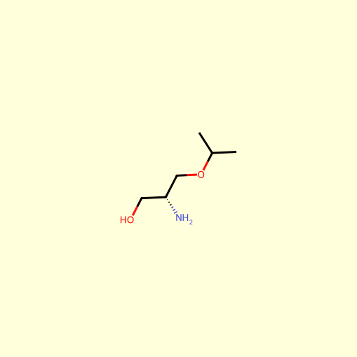 CC(C)OC[C@H](N)CO